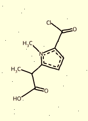 CC(C(=O)O)c1ccc(C(=O)Cl)n1C